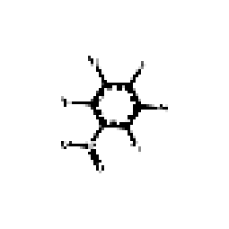 [2H]c1c([2H])c([N+](=O)[O-])c([2H])c([2H])c1F